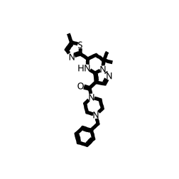 Cc1cnc(C2CC(C)(C)n3ncc(C(=O)N4CCN(Cc5ccccc5)CC4)c3N2)s1